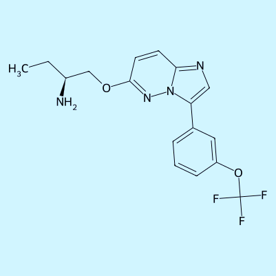 CC[C@H](N)COc1ccc2ncc(-c3cccc(OC(F)(F)F)c3)n2n1